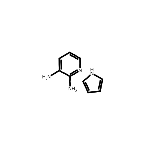 Nc1cccnc1N.c1cc[nH]c1